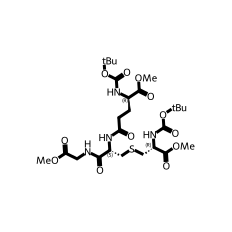 COC(=O)CNC(=O)[C@@H](CSC[C@H](NC(=O)OC(C)(C)C)C(=O)OC)NC(=O)CC[C@@H](NC(=O)OC(C)(C)C)C(=O)OC